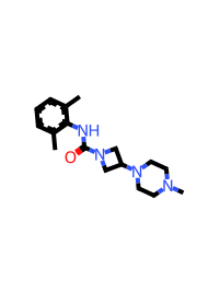 Cc1cccc(C)c1NC(=O)N1CC(N2CCN(C)CC2)C1